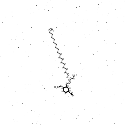 CCCCCCCCCCCCCCCCCCOC[C@H](CO)OCc1cc(C#N)ccc1OC